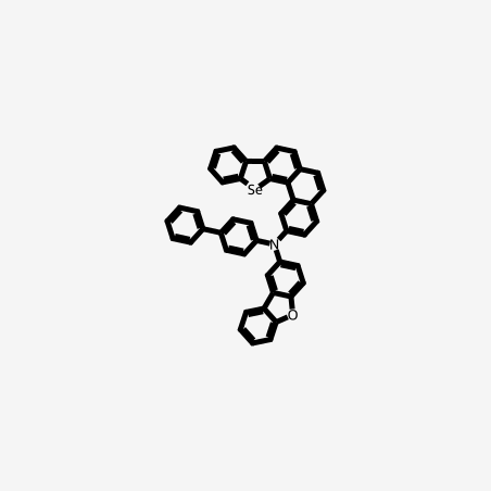 c1ccc(-c2ccc(N(c3ccc4oc5ccccc5c4c3)c3ccc4ccc5ccc6c7ccccc7[se]c6c5c4c3)cc2)cc1